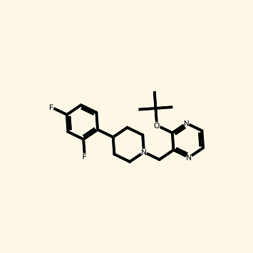 CC(C)(C)Oc1nccnc1CN1CCC(c2ccc(F)cc2F)CC1